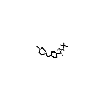 C[C@H](NSC(C)(C)C)c1ccc(CN2CCN(C)CC2)cc1